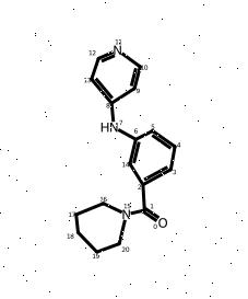 O=C(c1cccc(Nc2ccncc2)c1)N1CCCCC1